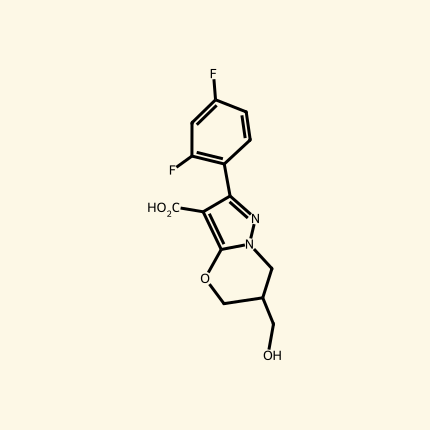 O=C(O)c1c(-c2ccc(F)cc2F)nn2c1OCC(CO)C2